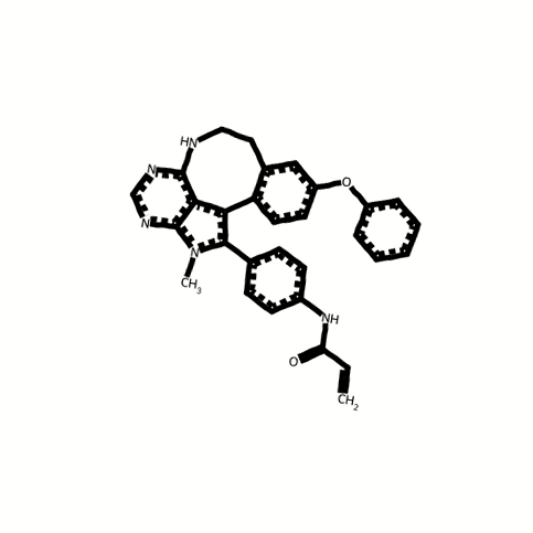 C=CC(=O)Nc1ccc(-c2c3c4c(ncnc4n2C)NCCc2cc(Oc4ccccc4)ccc2-3)cc1